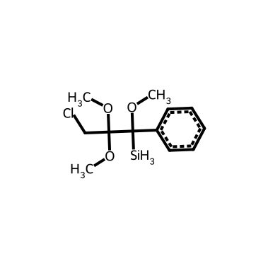 COC(CCl)(OC)C([SiH3])(OC)c1ccccc1